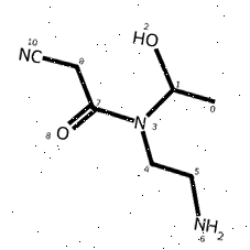 CC(O)N(CCN)C(=O)CC#N